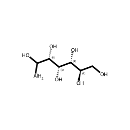 OC[C@@H](O)[C@@H](O)[C@H](O)[C@@H](O)[CH](O)[AlH2]